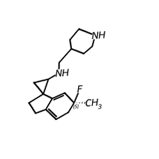 C[C@@]1(F)C=C2C(=CC1)CCC21CC1NCC1CCNCC1